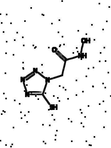 O=C(Cn1nnnc1S)NO